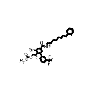 NC(=O)OCC(O)c1c(Br)cc(C(=O)NCCCCCCCCc2ccccc2)cc1-c1cccc(C(F)(F)F)c1